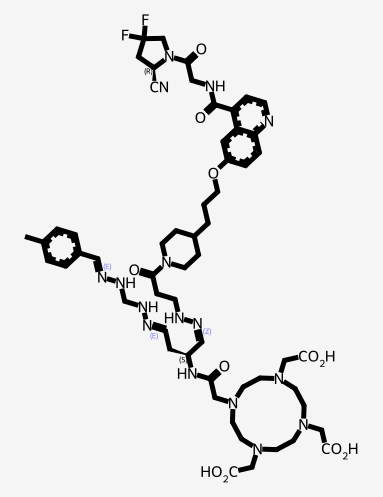 Cc1ccc(/C=N/NCN/N=C/C[C@@H](/C=N\NCCC(=O)N2CCC(CCCOc3ccc4nccc(C(=O)NCC(=O)N5CC(F)(F)C[C@@H]5C#N)c4c3)CC2)NC(=O)CN2CCN(CC(=O)O)CCN(CC(=O)O)CCN(CC(=O)O)CC2)cc1